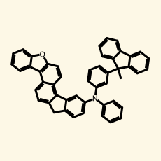 CC1(c2cccc(N(c3ccccc3)c3ccc4c(c3)-c3c(ccc5c3ccc3oc6ccccc6c35)C4)c2)c2ccccc2-c2ccccc21